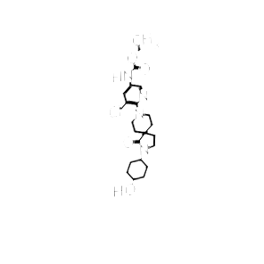 CCOC(=O)Nc1cnc(N2CCC3(CC2)CCN([C@H]2CC[C@@H](O)CC2)C3=O)c(Cl)c1